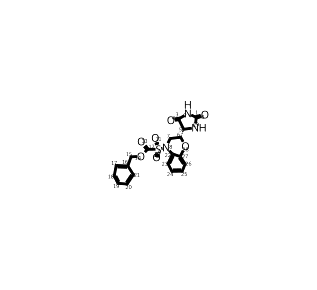 O=C1NC(=O)C([C@H]2CN(S(=O)(=O)C(=O)OCc3ccccc3)c3ccccc3O2)N1